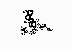 CN[C@@H](C)C(=O)N[C@@H]1C(=O)N(Cc2c(OC)ccc3c(Br)cccc23)c2cc(C#N)ccc2N(C(=O)CS(C)(=O)=O)[C@H]1C.O=C(O)C(F)(F)F